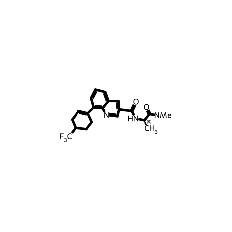 CNC(=O)[C@@H](C)NC(=O)c1cnc2c(C3=CCC(C(F)(F)F)CC3)cccc2c1